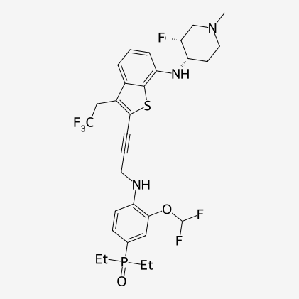 CCP(=O)(CC)c1ccc(NCC#Cc2sc3c(N[C@H]4CCN(C)C[C@H]4F)cccc3c2CC(F)(F)F)c(OC(F)F)c1